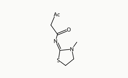 CC(=O)CC(=O)/N=C1/SCCN1C